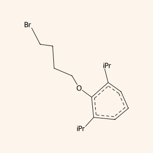 CC(C)c1cccc(C(C)C)c1OCCCCBr